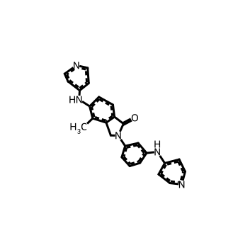 Cc1c(Nc2ccncc2)ccc2c1CN(c1cccc(Nc3ccncc3)c1)C2=O